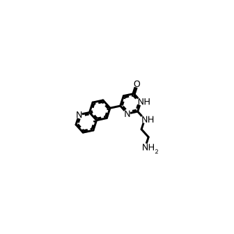 NCCNc1nc(-c2ccc3ncccc3c2)cc(=O)[nH]1